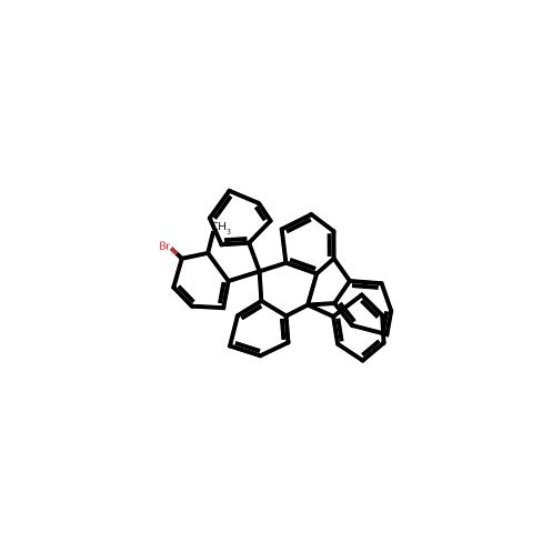 CC1C(C2(c3ccccc3)c3ccccc3C3(c4ccccc4)c4ccccc4-c4cccc2c43)=CC=CC1Br